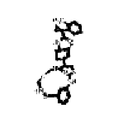 Cc1ccccc1C1(C(=O)Nc2ccc(-c3cnc4nc3NCCCNSc3cccc(c3)N4)cc2F)CC1